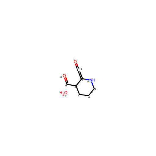 O.O=C=C1NCCCC1C=O